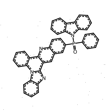 O=P(c1ccccc1)(c1ccc2nc3c4ccccc4n4c5ccccc5nc4c3cc2c1)n1c2ccccc2c2ccccc21